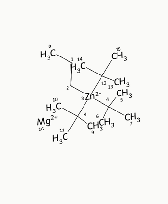 CC[CH2][Zn-2]([C](C)(C)C)([C](C)(C)C)[C](C)(C)C.[Mg+2]